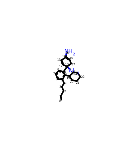 CCCCCc1cccc(C2(N)C=CC(N)=CC2)c1C1CCCCC1